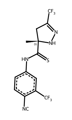 [C-]#[N+]c1ccc(NC(=S)[C@]2(C)CC(C(F)(F)F)=NN2)cc1C(F)(F)F